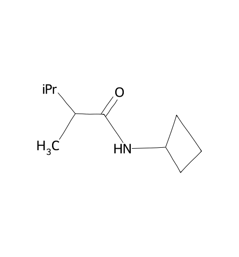 CC(C)C(C)C(=O)NC1CCC1